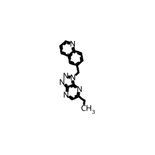 CCc1cnc2nnn(Cc3ccc4ncccc4c3)c2n1